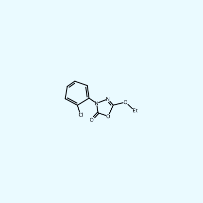 CCOc1nn(-c2ccccc2Cl)c(=O)o1